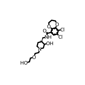 O=C(NC[C@@H]1CCN(CCOCCO)CC1O)c1cc(Cl)c(Cl)c2c1OCCCO2